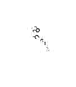 CN(C)CCNC(=O)Cn1cc(Nc2cc(Nc3cccc4c3C(=O)N(C)CC4)c(Cl)cn2)cn1